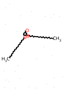 CCCCCCCCCCCCCCCCCCCOc1ccc(C=O)cc1OCCCCCCCCCCCCCCCCCCC